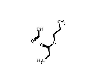 CCCOC(=O)CC.O=CO